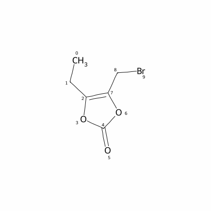 CCc1oc(=O)oc1CBr